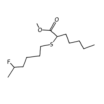 CCCCCC(SCCCCC(C)F)C(=O)OC